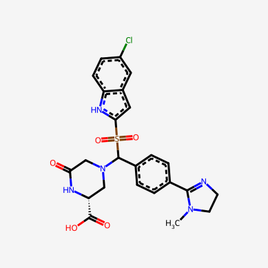 CN1CCN=C1c1ccc(C(N2CC(=O)N[C@@H](C(=O)O)C2)S(=O)(=O)c2cc3cc(Cl)ccc3[nH]2)cc1